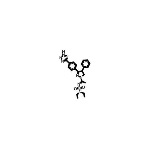 CCN(CC)S(=O)(=O)/N=C(\C)N1CC(c2ccccc2)C(c2ccc(-c3nn[nH]n3)cc2)=N1